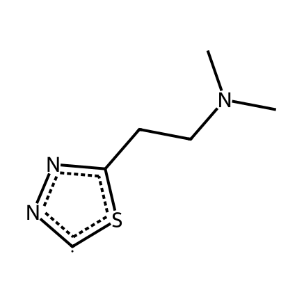 CN(C)CCc1nn[c]s1